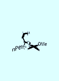 CCCCC[C@@H](/C=C\I)OC(C)(C)OC